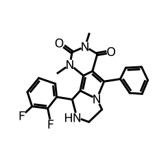 Cn1c(=O)c2c(-c3ccccc3)n3c(c2n(C)c1=O)C(c1cccc(F)c1F)NCC3